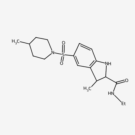 CCNC(=O)C1Nc2ccc(S(=O)(=O)N3CCC(C)CC3)cc2C1C